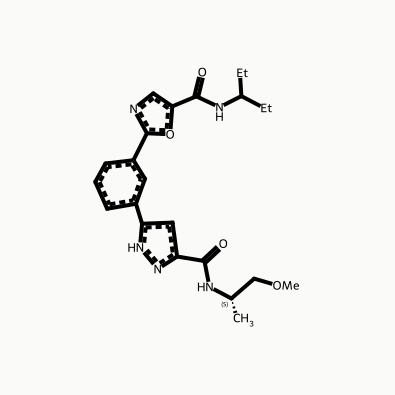 CCC(CC)NC(=O)c1cnc(-c2cccc(-c3cc(C(=O)N[C@@H](C)COC)n[nH]3)c2)o1